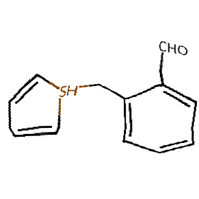 O=Cc1ccccc1C[SH]1C=CC=C1